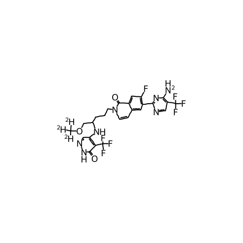 [2H]C([2H])([2H])OCC(CCCn1ccc2cc(-c3ncc(C(F)(F)F)c(N)n3)c(F)cc2c1=O)Nc1cn[nH]c(=O)c1C(F)(F)F